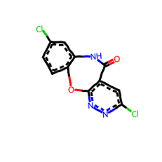 O=C1Nc2cc(Cl)ccc2Oc2nnc(Cl)cc21